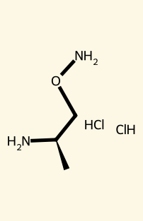 C[C@@H](N)CON.Cl.Cl